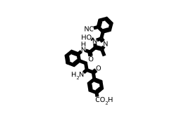 Cc1nc(-c2ccccc2C#N)n(O)c1C(=O)Nc1ccccc1CC(N)C(=O)c1ccc(C(=O)O)cc1